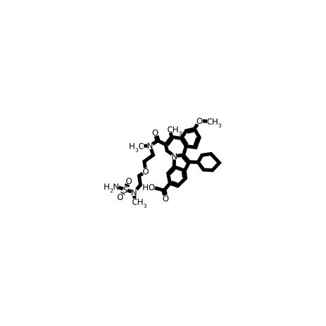 COc1ccc2c(c1)C(C)=C(C(=O)N(C)CCOCCN(C)S(N)(=O)=O)Cn1c-2c(C2CCCCC2)c2ccc(C(=O)O)cc21